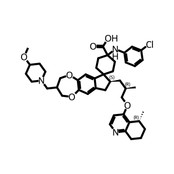 COC1CCN(CC2COc3cc4c(cc3OC2)C2(CCC(Nc3cccc(Cl)c3)(C(=O)O)CC2)[C@@H](C[C@@H](C)COc2ccnc3c2[C@H](C)CCC3)C4)CC1